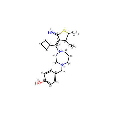 CC1SC(=N)/C(=C(\C2CCC2)N2CCCN(Cc3ccc(O)cc3)CC2)C1C